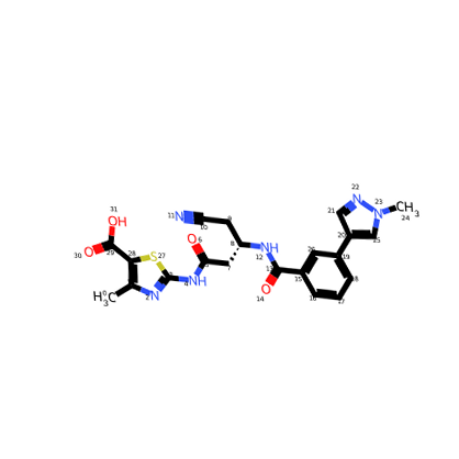 Cc1nc(NC(=O)C[C@H](CC#N)NC(=O)c2cccc(-c3cnn(C)c3)c2)sc1C(=O)O